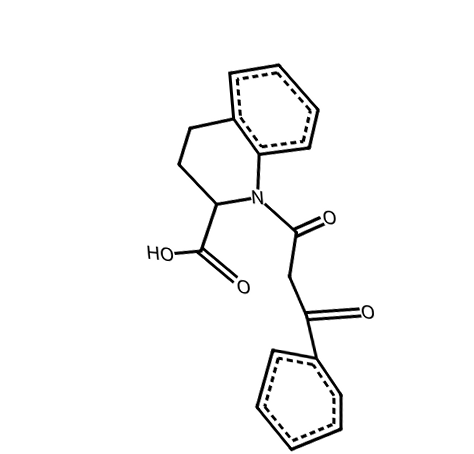 O=C(CC(=O)N1c2ccccc2CCC1C(=O)O)c1ccccc1